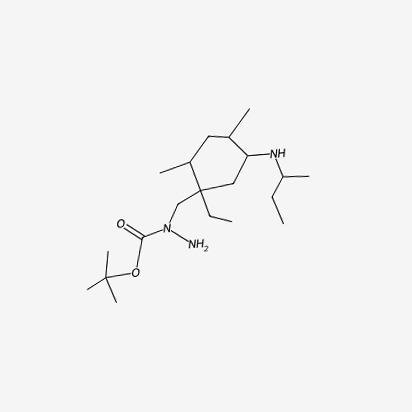 CCC(C)NC1CC(CC)(CN(N)C(=O)OC(C)(C)C)C(C)CC1C